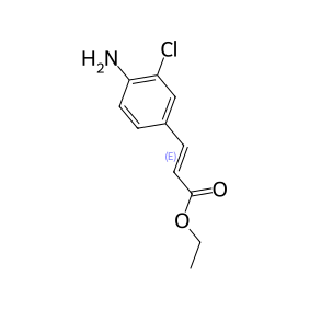 CCOC(=O)/C=C/c1ccc(N)c(Cl)c1